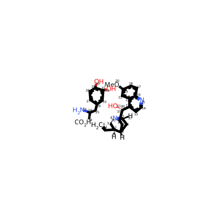 C=C[C@H]1C[N@]2CC[C@H]1C[C@H]2[C@H](O)c1ccnc2ccc(OC)cc12.NC(Cc1ccc(O)c(O)c1)C(=O)O